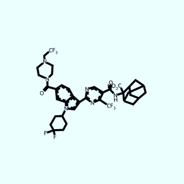 O=C(NC1(C(=O)O)C2CC3CC(C2)CC1C3)c1cnc(-c2cn(C3CCC(F)(F)CC3)c3cc(C(=O)N4CCN(CC(F)(F)F)CC4)ccc23)nc1C(F)(F)F